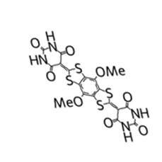 COc1c2c(c(OC)c3c1SC(=C1C(=O)NC(=O)NC1=O)S3)SC(=C1C(=O)NC(=O)NC1=O)S2